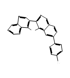 Brc1ccc(-c2ccc3ccc4c5ccc6ccccc6c5oc4c3c2)cc1